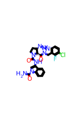 [N-]=[N+]=N[C@@H]1CCN(C(=O)Nc2cn(C(N)=O)c3ccccc23)[C@@H]1C(=O)NCc1cccc(Cl)c1F